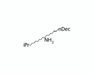 CCCCCCCCCCC/C=C/CCCCC(N)CCCCCCCCC(C)C